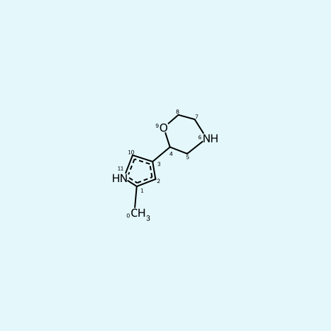 Cc1cc(C2CNCCO2)c[nH]1